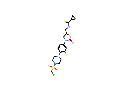 O=C1OC(CNC(=S)C2CC2)CN1c1ccc(N2CCN(S(=O)(=O)CCl)CC2)c(F)c1